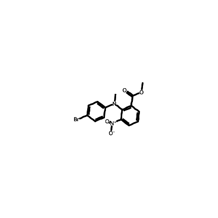 COC(=O)c1cccc([N+](=O)[O-])c1N(C)c1ccc(Br)cc1